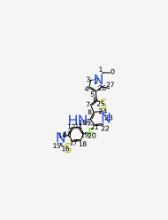 CCN1CC=C(c2cc3c(Nc4cc5ncsc5cc4F)ccnc3s2)C1C